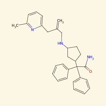 C=C(CNC1CCC(C(C(N)=O)(c2ccccc2)c2ccccc2)C1)Cc1cccc(C)n1